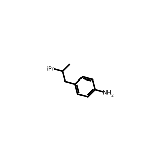 CC(C)C(C)Cc1ccc(N)cc1